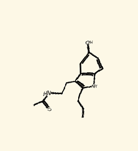 CCCc1[nH]c2ccc(O)cc2c1CCNC(C)=O